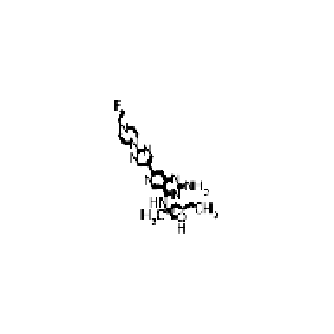 CCCC[C@](C)(CO)Nc1nc(N)nc2cc(-c3cnc(N4CCN(CCF)CC4)nc3)ncc12